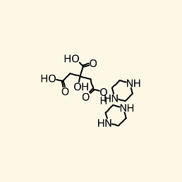 C1CNCCN1.C1CNCCN1.O=C(O)CC(O)(CC(=O)O)C(=O)O